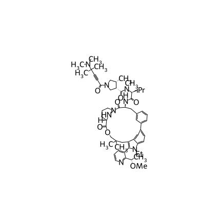 CCn1c(-c2cccnc2[C@H](C)OC)c2c3cc(ccc31)-c1cccc(c1)C[C@H](NC(=O)[C@H](C(C)C)N(C)C(=O)[C@@H]1CN(C(=O)C#CC(C)(C)N(C)C)C[C@@H]1C)C(=O)N1CCC[C@H](N1)C(=O)OCC(C)(C)C2